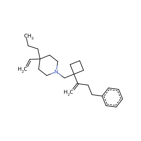 C=CC1(CCC)CCN(CC2(C(=C)CCc3ccccc3)CCC2)CC1